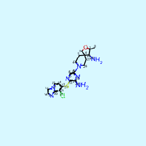 C[C@@H]1OCC2(CCN(c3cnc(Sc4ccn5ccnc5c4Cl)c(N)n3)CC2)[C@@H]1N